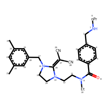 CCCNCc1ccc(C(=O)N(CC)CCN2CCN(Cc3cc(C)cc(C)c3)C2=C(C#N)C#N)cc1